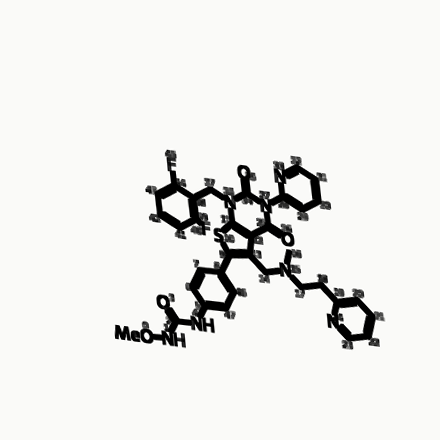 CONC(=O)Nc1ccc(-c2sc3c(c2CN(C)CCc2ccccn2)c(=O)n(-c2ccccn2)c(=O)n3Cc2c(F)cccc2F)cc1